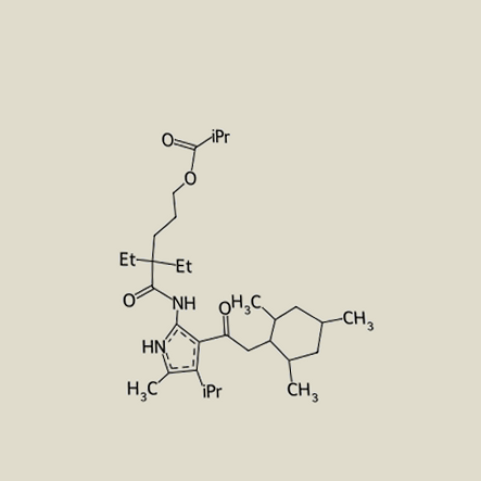 CCC(CC)(CCCOC(=O)C(C)C)C(=O)Nc1[nH]c(C)c(C(C)C)c1C(=O)CC1C(C)CC(C)CC1C